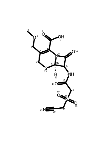 COCC1=C(C(=O)O)N2C(=O)C(NC(=O)CS(=O)(=O)CC#N)[C@H]2SC1